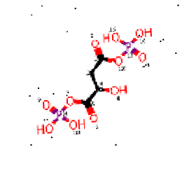 O=C(CC(O)C(=O)OP(=O)(O)O)OP(=O)(O)O